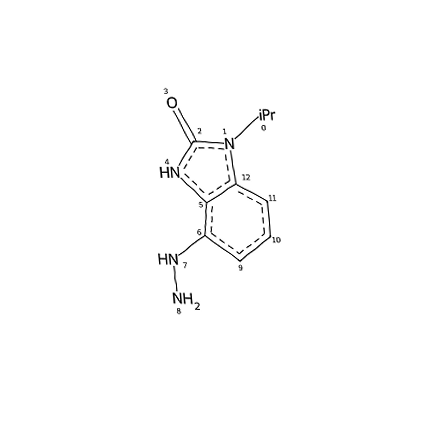 CC(C)n1c(=O)[nH]c2c(NN)cccc21